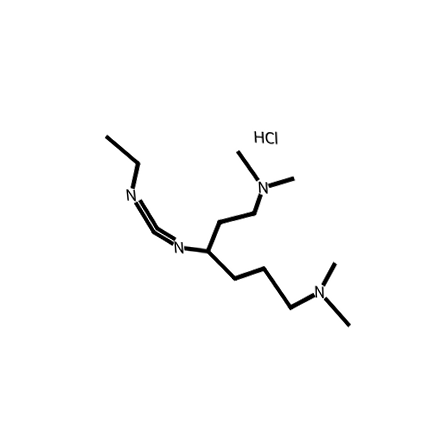 CCN=C=NC(CCCN(C)C)CCN(C)C.Cl